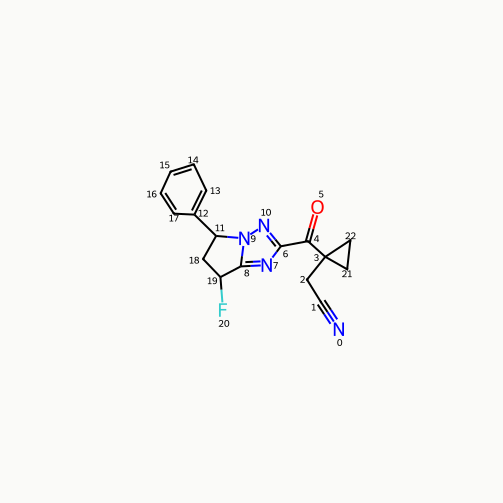 N#CCC1(C(=O)c2nc3n(n2)C(c2ccccc2)CC3F)CC1